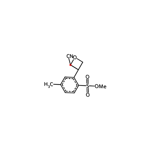 COS(=O)(=O)c1ccc(C)cc1C1(CC#N)COC1